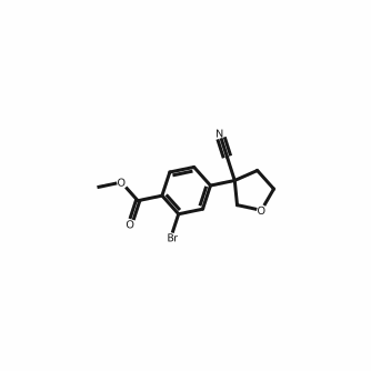 COC(=O)c1ccc(C2(C#N)CCOC2)cc1Br